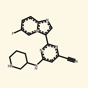 N#Cc1cc(NC2CCCNC2)nc(-c2cnc3ccc(F)cn23)n1